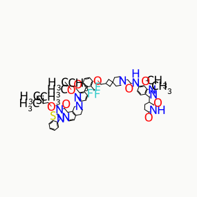 COc1c(NC(=O)CN2CCC3(CC2)CC(COc2cccc(-c4ccc(N5CCc6ccnc(C(=O)N(COCC[Si](C)(C)C)c7nc8ccccc8s7)c6C5)nc4C(=O)OC(C)(C)C)c2C(F)(F)F)C3)ccc2c(C3CCC(=O)NC3=O)nn(C)c12